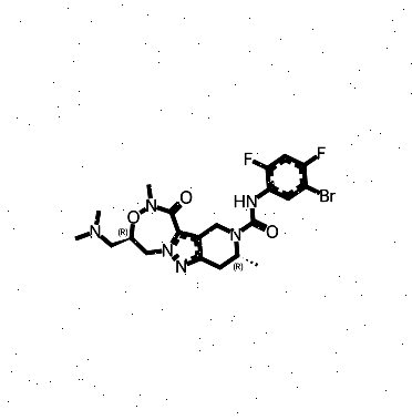 C[C@@H]1Cc2nn3c(c2CN1C(=O)Nc1cc(Br)c(F)cc1F)C(=O)N(C)O[C@H](CN(C)C)C3